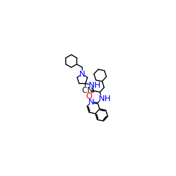 N#CC1(NC(=O)C(CC2CCCCC2)Nc2nccc3ccccc23)CCN(CC2CCCCC2)C1